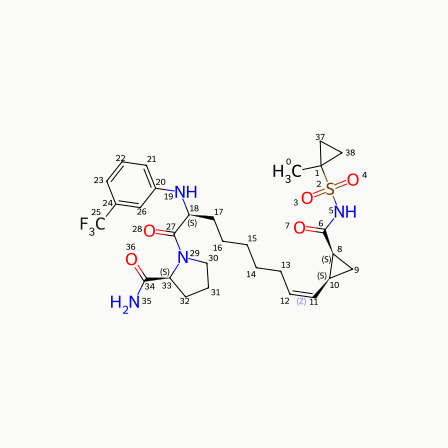 CC1(S(=O)(=O)NC(=O)[C@H]2C[C@H]2/C=C\CCCCC[C@H](Nc2cccc(C(F)(F)F)c2)C(=O)N2CCC[C@H]2C(N)=O)CC1